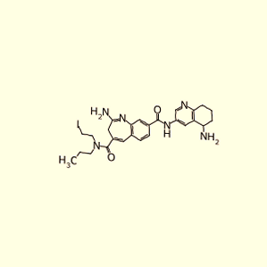 CCCN(CCI)C(=O)C1=Cc2ccc(C(=O)Nc3cnc4c(c3)C(N)CCC4)cc2N=C(N)C1